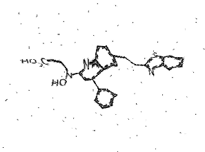 O=C(O)CN(O)c1cc(-c2ccccc2)c2cc(CCc3nc4ccccc4s3)ccc2n1